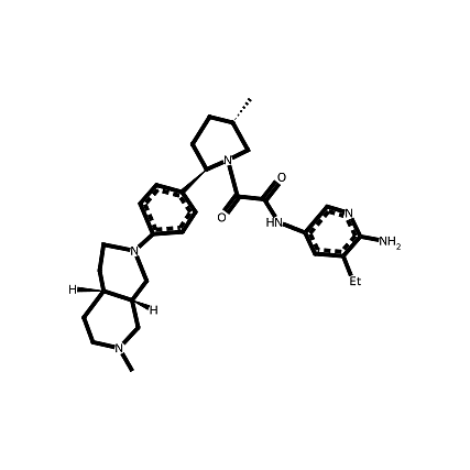 CCc1cc(NC(=O)C(=O)N2C[C@@H](C)CC[C@@H]2c2ccc(N3CC[C@H]4CCN(C)C[C@H]4C3)cc2)cnc1N